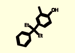 CCC(CC)(c1ccccc1)c1ccc(O)c(C)c1